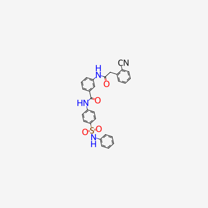 N#Cc1ccccc1CC(=O)Nc1cccc(C(=O)Nc2ccc(S(=O)(=O)Nc3ccccc3)cc2)c1